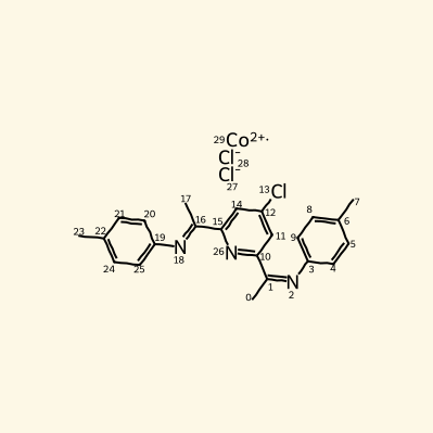 CC(=Nc1ccc(C)cc1)c1cc(Cl)cc(C(C)=Nc2ccc(C)cc2)n1.[Cl-].[Cl-].[Co+2]